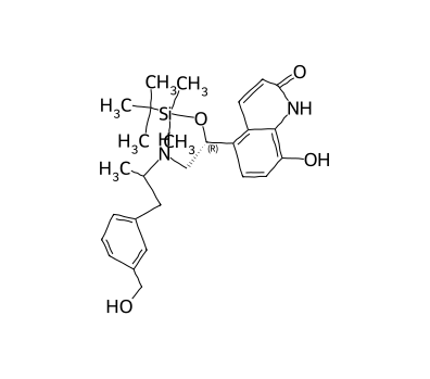 CC(Cc1cccc(CO)c1)NC[C@H](O[Si](C)(C)C(C)(C)C)c1ccc(O)c2[nH]c(=O)ccc12